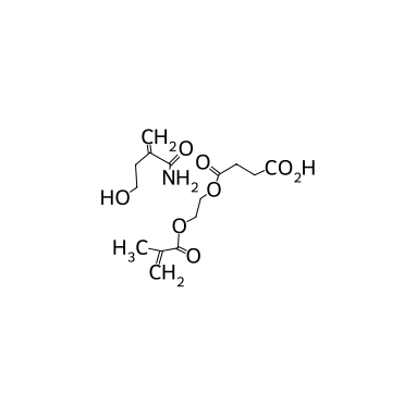 C=C(C)C(=O)OCCOC(=O)CCC(=O)O.C=C(CCO)C(N)=O